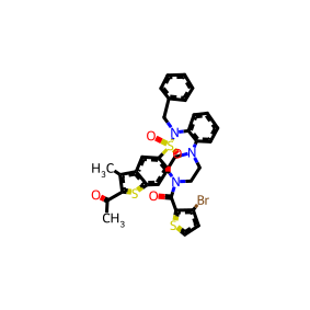 CC(=O)c1sc2ccc(S(=O)(=O)N(Cc3ccccc3)c3ccccc3N3CCN(C(=O)c4sccc4Br)CC3)cc2c1C